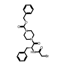 O=C(CBr)N[C@@H](Cc1ccccc1)C(=O)N1CCN(C(=O)OCc2ccccc2)CC1